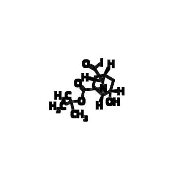 CC(C)(C)OC(=O)N1[C@H](C(=O)I)[C@@H]2CC[C@H]1[C@@H](O)C2